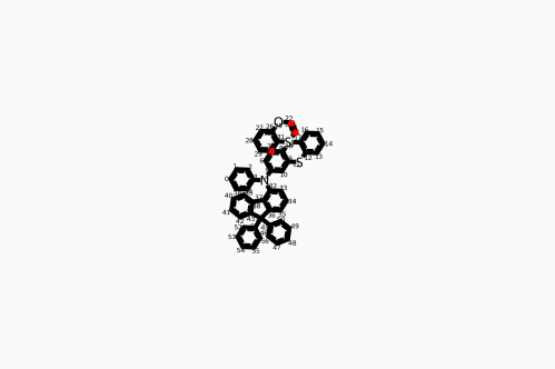 c1ccc(N(c2ccc3c(c2)Sc2ccccc2[Si]32c3ccccc3Oc3ccccc32)c2cccc3c2-c2ccccc2C3(c2ccccc2)c2ccccc2)cc1